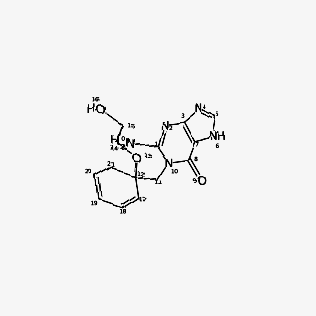 Nc1nc2nc[nH]c2c(=O)n1CC1(OCCO)C=CC=CC1